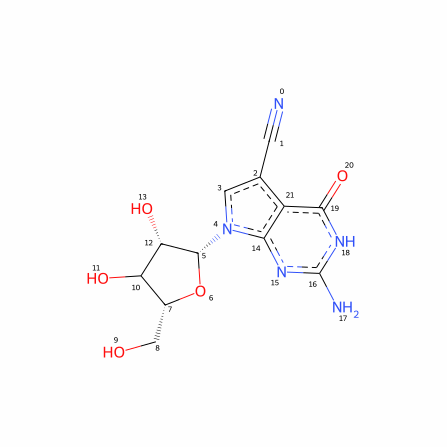 N#Cc1cn([C@@H]2O[C@H](CO)C(O)[C@@H]2O)c2nc(N)[nH]c(=O)c12